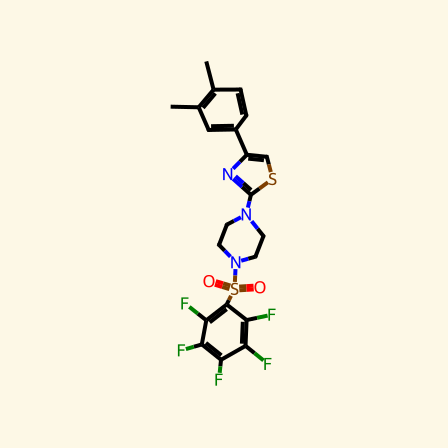 Cc1ccc(-c2csc(N3CCN(S(=O)(=O)c4c(F)c(F)c(F)c(F)c4F)CC3)n2)cc1C